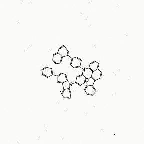 c1ccc(-c2ccc3c(c2)c2ccccc2n3-c2cccc(N(c3ccc(-c4cccc5ccccc45)cc3)c3cccc4ccc5c6ccccc6oc5c34)c2)cc1